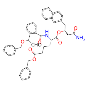 NC(=O)C[C@H](Cc1ccc2ccccc2c1)OC(=O)[C@H](CCCC(=O)OCc1ccccc1)NC(=O)c1ccccc1C(C=O)OCc1ccccc1